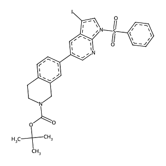 CC(C)(C)OC(=O)N1CCc2ccc(-c3cnc4c(c3)c(I)cn4S(=O)(=O)c3ccccc3)cc2C1